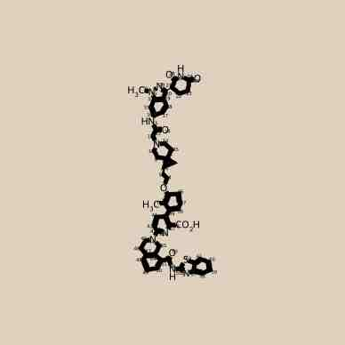 Cc1c(OCC[C@@H]2CC23CCN(CC(=O)Nc2ccc4c([C@H]5CCC(=O)NC5=O)nn(C)c4c2)CC3)cccc1-c1ccc(N2CCc3cccc(C(=O)Nc4nc5ccccc5s4)c3C2)nc1C(=O)O